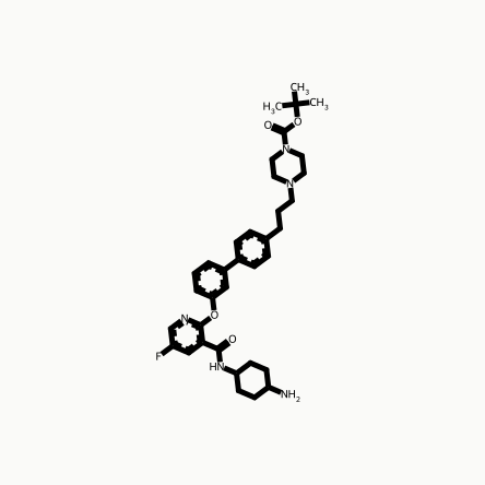 CC(C)(C)OC(=O)N1CCN(CCCc2ccc(-c3cccc(Oc4ncc(F)cc4C(=O)NC4CCC(N)CC4)c3)cc2)CC1